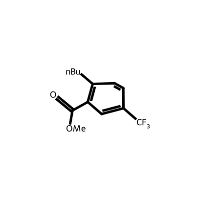 CCCCc1ccc(C(F)(F)F)cc1C(=O)OC